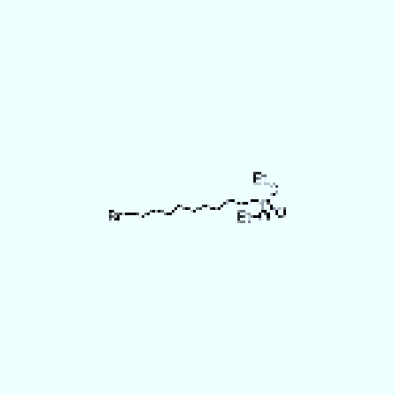 CCOP(=O)(CCCCCCCCCCCBr)OCC